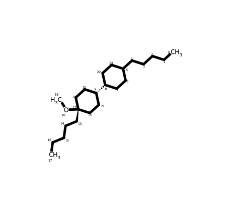 CCCCCC1CCC([C@H]2CC[C@@](CCCCC)(OC)CC2)CC1